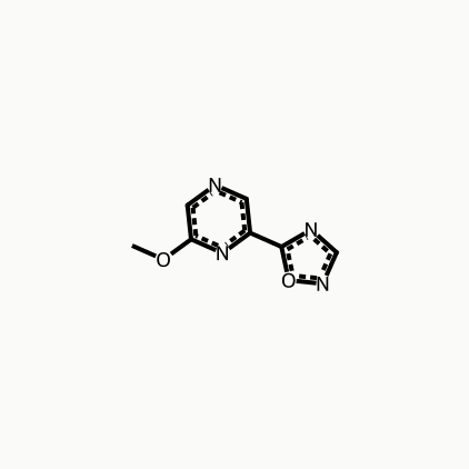 COc1cncc(-c2ncno2)n1